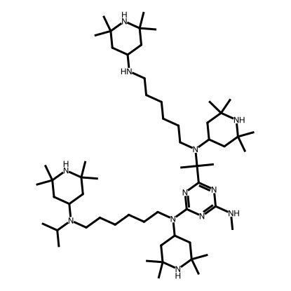 CNc1nc(N(CCCCCCN(C(C)C)C2CC(C)(C)NC(C)(C)C2)C2CC(C)(C)NC(C)(C)C2)nc(C(C)(C)N(CCCCCCNC2CC(C)(C)NC(C)(C)C2)C2CC(C)(C)NC(C)(C)C2)n1